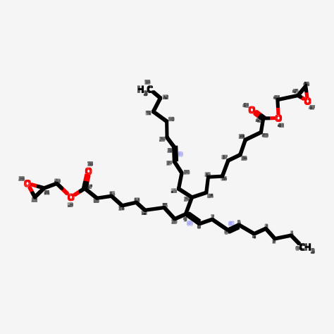 CCCCC/C=C/C/C=C(/CCCCCCCC(=O)OCC1CO1)C(CC/C=C/CCCCC)CCCCCCCC(=O)OCC1CO1